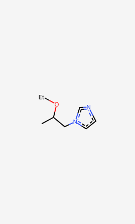 CCOC(C)Cn1ccnc1